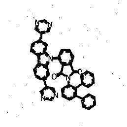 O=C1c2cccc(-n3c4cc(-c5cncnc5)ccc4c4ccc(-c5cncnc5)cc43)c2C(=O)N1c1cccc(-c2ccccc2)c1-c1ccccc1